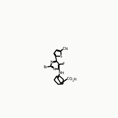 N#Cc1ccc(-c2nc(Br)nc(NC3C4CCC(CC4)C3C(=O)O)c2F)s1